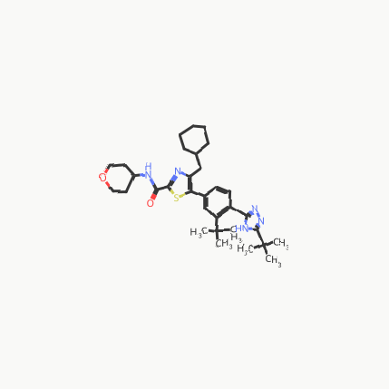 CC(C)(C)c1nnc(-c2ccc(-c3sc(C(=O)NC4CCOCC4)nc3CC3CCCCC3)cc2C(C)(C)C)[nH]1